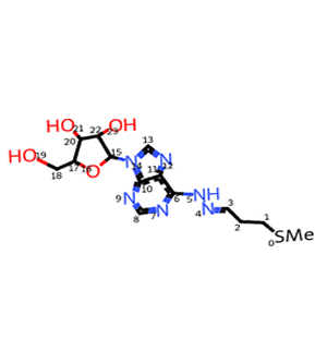 CSCC/C=N/Nc1ncnc2c1ncn2C1OC(CO)C(O)C1O